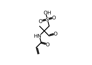 C=CC(=O)NC(C)(C=O)CS(=O)(=O)O